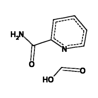 NC(=O)c1ccccn1.O=CO